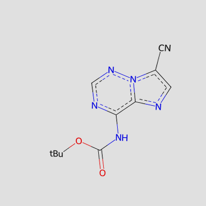 CC(C)(C)OC(=O)Nc1ncnn2c(C#N)cnc12